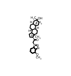 CC[C@]12CC[C@@](C)(O)C[C@@H]1CC[C@H]1[C@@H]3CC[C@H](C(=O)Cn4nnc5c(OC)cccc54)[C@@]3(C)CC[C@@H]12